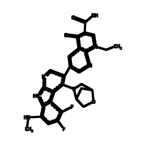 CCn1cc(C(=O)O)c(=O)c2cc(-c3cnc4[nH]c5c(NC)cc(F)c(F)c5c4c3N3CC4CC3CO4)cnc21